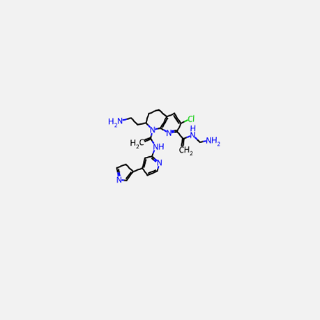 C=C(NCN)c1nc2c(cc1Cl)CCC(CCN)N2C(=C)Nc1cc(C2=CN=CC2)ccn1